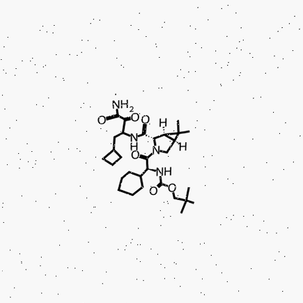 CC(C)(C)COC(=O)N[C@H](C(=O)N1C[C@H]2[C@@H]([C@H]1C(=O)NC(CC1CCC1)C(=O)C(N)=O)C2(C)C)C1CCCCC1